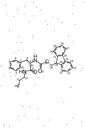 O=C(N[C@H](Cc1ccccc1)C(=O)NCCF)OCC1c2ccccc2-c2ccccc21